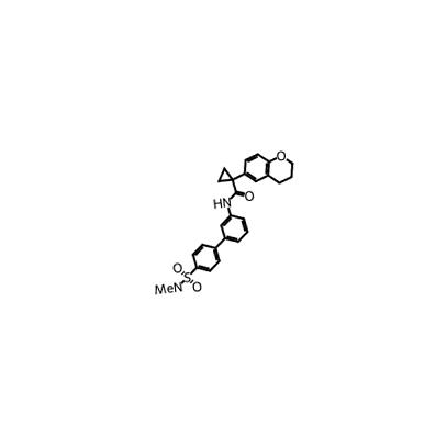 CNS(=O)(=O)c1ccc(-c2cccc(NC(=O)C3(c4ccc5c(c4)CCCO5)CC3)c2)cc1